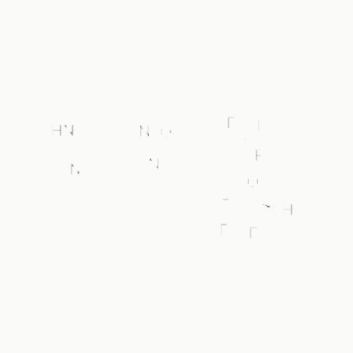 C[C@H](Oc1ccc(-c2nc(-c3ccnc4[nH]ccc34)no2)cc1C(F)(F)F)C(F)(F)F